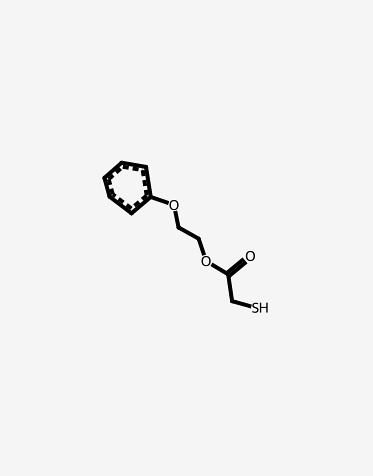 O=C(CS)OCCOc1ccccc1